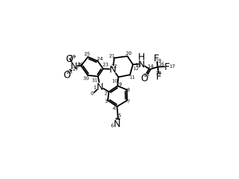 CN1c2cc(C#N)ccc2C2CC(NC(=O)C(F)(F)F)CCN2c2ccc([N+](=O)[O-])cc21